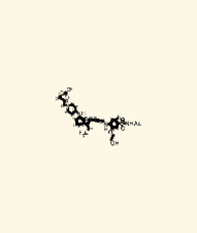 CC(=O)NS(=O)(=O)c1cc(OCCO)c(NCC#Cc2sc3c(NC4CCN(CC5COC(=O)O5)CC4)cccc3c2CC(F)(F)F)cc1F